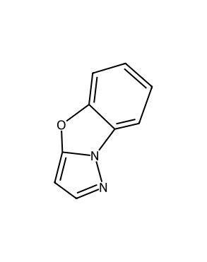 c1ccc2c(c1)oc1ccnn12